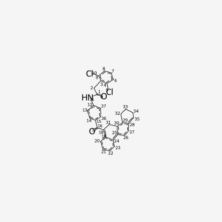 O=C(Cc1c(Cl)cccc1Cl)Nc1ccc(C(=O)C2=c3ccccc3=c3ccc4c(c3C2)CCCC=4)cc1